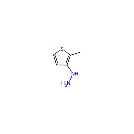 Cc1sccc1NN